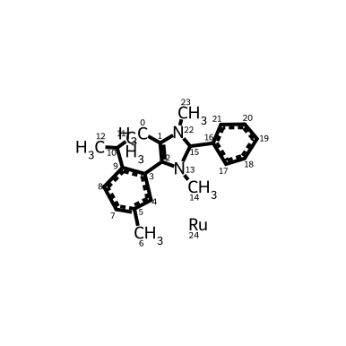 CC1=C(c2cc(C)ccc2C(C)C)N(C)C(c2ccccc2)N1C.[Ru]